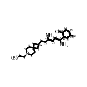 CC(C)(C)CCN1CCC2(CC1)CC(CC/C(N)=C/C=C(\N)c1cc(F)ccc1Cl)C2